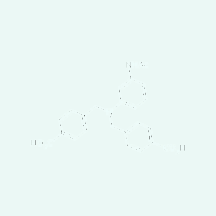 CC(=O)Nc1cccc(N(Cc2ccc(C(=O)O)cc2)Cc2ccc(C(=O)O)cc2)c1